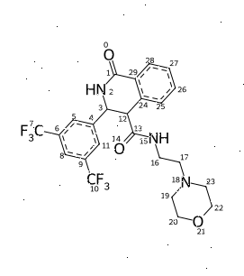 O=C1NC(c2cc(C(F)(F)F)cc(C(F)(F)F)c2)C(C(=O)NCCN2CCOCC2)c2ccccc21